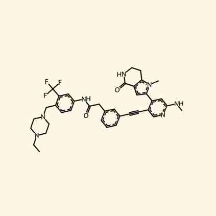 CCN1CCN(Cc2ccc(NC(=O)Cc3cccc(C#Cc4cnc(NC)cc4-c4cc5c(n4C)CCNC5=O)c3)cc2C(F)(F)F)CC1